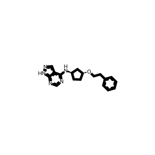 c1ccc(CCO[C@@H]2CC[C@@H](Nc3ncnc4[nH]ncc34)C2)cc1